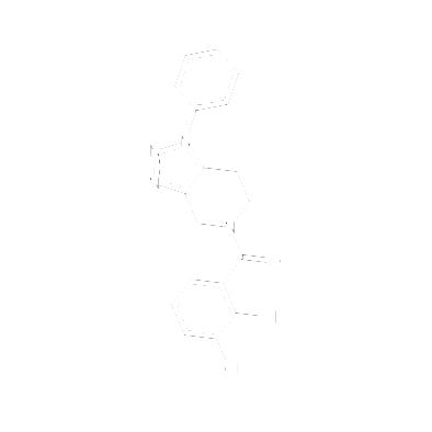 C[C@H]1Cc2c(nnn2-c2ccccc2)CN1C(=O)c1cccc(C(F)(F)F)c1Cl